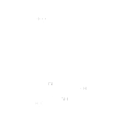 C=C1N[C@@H](C)[C@@H](CCCCCC(=O)O)N1